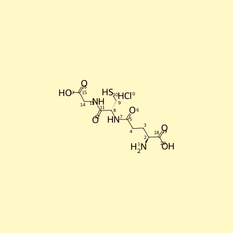 Cl.N[C@@H](CCC(=O)N[C@@H](CS)C(=O)NCC(=O)O)C(=O)O